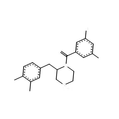 Cc1ccc(CC2CNCCN2C(=O)c2cc(C(F)(F)F)cc(C(F)(F)F)c2)cc1C.Cl